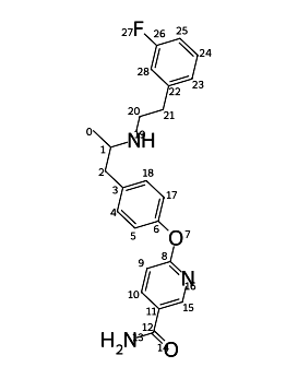 CC(Cc1ccc(Oc2ccc(C(N)=O)cn2)cc1)NCCc1cccc(F)c1